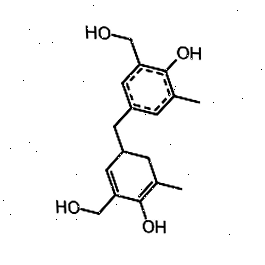 CC1=C(O)C(CO)=CC(Cc2cc(C)c(O)c(CO)c2)C1